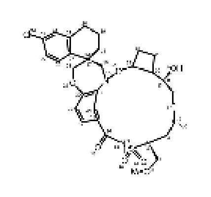 COC[C@@H]1C[C@@H](C)CC[C@H](O)C2CCC2CN2C[C@@]3(CCCc4cc(Cl)ccc43)COc3ccc(cc32)C(=O)NS1(=O)=O